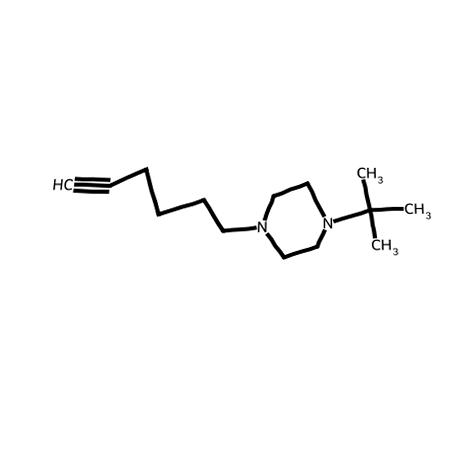 C#CCCCCN1CCN(C(C)(C)C)CC1